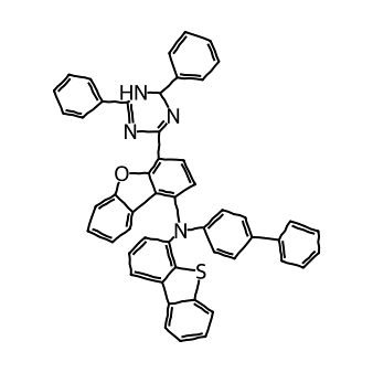 c1ccc(C2=NC(c3ccc(N(c4ccc(-c5ccccc5)cc4)c4cccc5c4sc4ccccc45)c4c3oc3ccccc34)=NC(c3ccccc3)N2)cc1